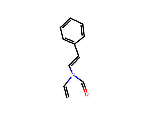 C=CN(C=O)C=Cc1ccccc1